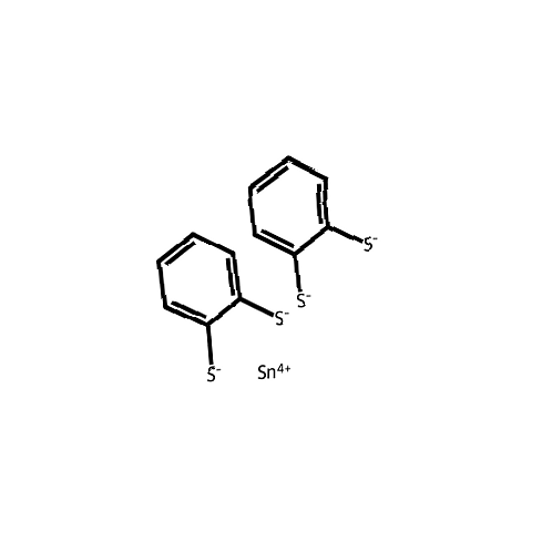 [S-]c1ccccc1[S-].[S-]c1ccccc1[S-].[Sn+4]